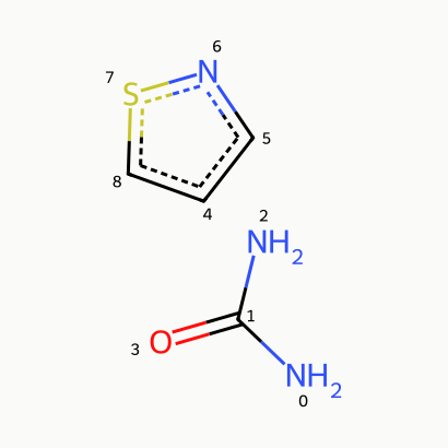 NC(N)=O.c1cnsc1